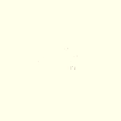 CCNC(=O)CC(=O)C1=CC(=S)CC=C1